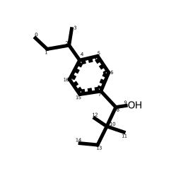 CCC(C)c1ccc(C(O)C(C)(C)CC)cc1